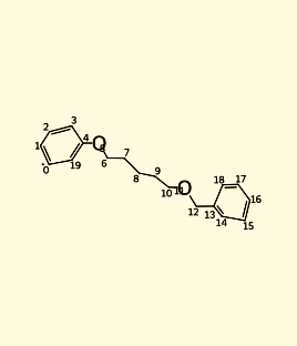 [c]1cccc(OCCCCCOCc2ccccc2)c1